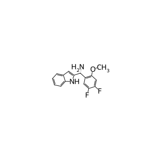 COc1cc(F)c(F)cc1[C@@H](N)c1cc2ccccc2[nH]1